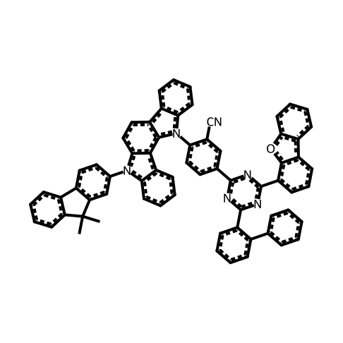 CC1(C)c2ccccc2-c2ccc(-n3c4ccccc4c4c3ccc3c5ccccc5n(-c5ccc(-c6nc(-c7ccccc7-c7ccccc7)nc(-c7cccc8c7oc7ccccc78)n6)cc5C#N)c34)cc21